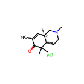 CN1CC=C2C(C)(C)C(=O)C(C#N)=C[C@@]2(C)C1.Cl